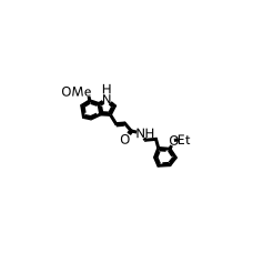 CCOc1ccccc1CCNC(=O)/C=C/c1c[nH]c2c(OC)cccc12